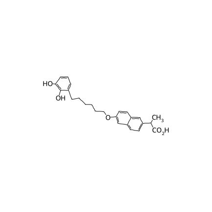 CC(C(=O)O)c1ccc2cc(OCCCCCCc3cccc(O)c3O)ccc2c1